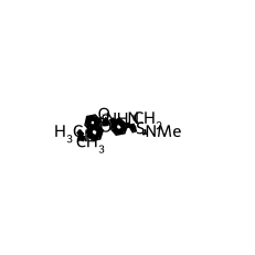 C=N/C(=C\SCNC)c1cccc(NS(=O)(=O)c2cccc3c(N(C)C)cccc23)c1